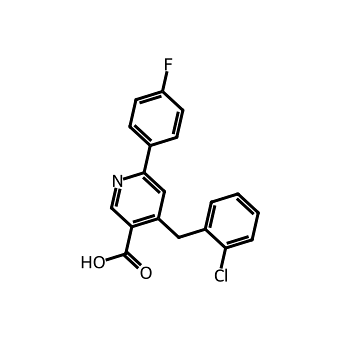 O=C(O)c1cnc(-c2ccc(F)cc2)cc1Cc1ccccc1Cl